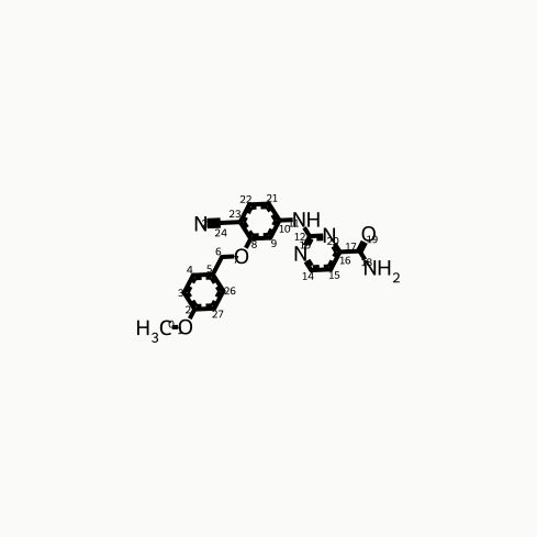 COc1ccc(COc2cc(Nc3nccc(C(N)=O)n3)ccc2C#N)cc1